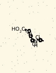 Cc1ccc([C@@H](C)Nc2cc(C3CCN([C@@H]4CCCN(CCC(=O)O)C4)CC3)ccc2Cl)c(Cl)c1